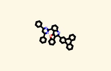 c1ccc(-c2cc(-c3ccccc3)nc(-c3cccc4nc(-c5ccc6c7ccccc7c7ccccc7c6c5)c5c6ccccc6oc5c34)n2)cc1